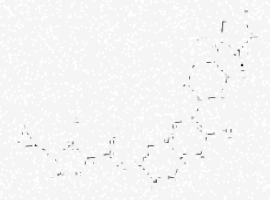 C[C@]1(N2CCC(c3cc4cc(NC(=O)c5cnn(C6CC6)c5Cl)ncc4cc3Cl)CC2)COC[C@H]1F